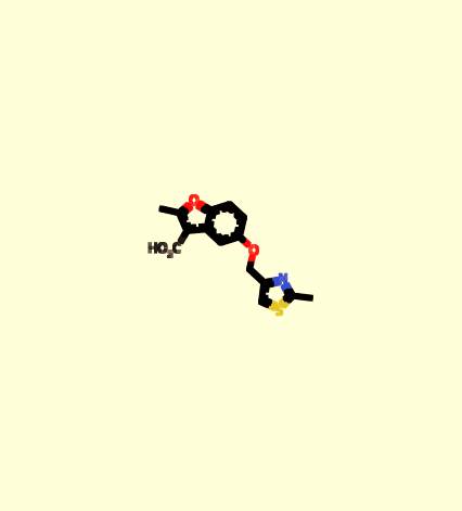 Cc1nc(COc2ccc3oc(C)c(C(=O)O)c3c2)cs1